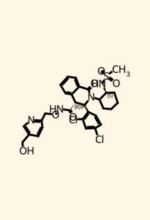 CS(=O)(=O)N[C@H]1CCCCC1N1C(=O)c2ccccc2[C@@H](C(=O)NOCc2ccc(CO)cn2)[C@@H]1c1ccc(Cl)cc1Cl